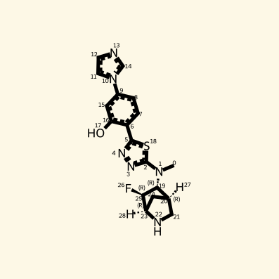 CN(c1nnc(-c2ccc(-n3ccnc3)cc2O)s1)[C@@H]1[C@H]2CN[C@H](C2)[C@H]1F